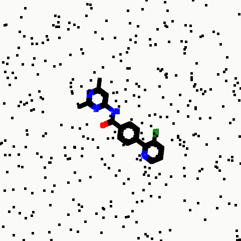 Cc1cc(NC(=O)c2ccc(-c3ncccc3Cl)cc2)nc(C)n1